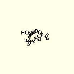 C=C(C)C(=O)OCC[N+](C)(C)C.N.O=S(=O)([O-])O